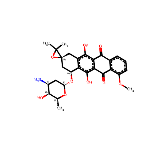 COc1cccc2c1C(=O)c1c(O)c3c(c(O)c1C2=O)C[C@@]1(C[C@@H]3O[C@H]2C[C@H](N)[C@H](O)[C@H](C)O2)OC1(C)C